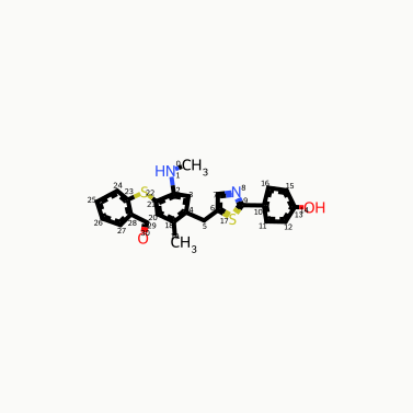 CNc1cc(Cc2cnc(-c3ccc(O)cc3)s2)c(C)cc1Sc1ccccc1C=O